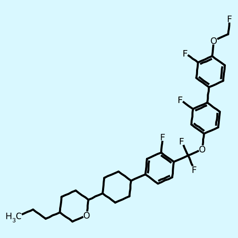 CCCC1CCC(C2CCC(c3ccc(C(F)(F)Oc4ccc(-c5ccc(OCF)c(F)c5)c(F)c4)c(F)c3)CC2)OC1